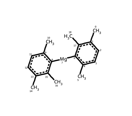 Cc1ccc(C)[c]([Mg][c]2c(C)ccc(C)c2C)c1C